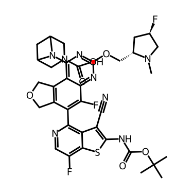 CN1C[C@H](F)C[C@H]1COc1nc(N2C3CC2CN(C(=O)O)C3)c2c3c(c(-c4ncc(F)c5sc(NC(=O)OC(C)(C)C)c(C#N)c45)c(F)c2n1)COC3